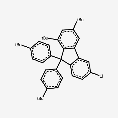 CC(C)(C)c1ccc(C2(c3ccc(C(C)(C)C)cc3)c3ccc(Cl)cc3-c3cc(C(C)(C)C)cc(C(C)(C)C)c32)cc1